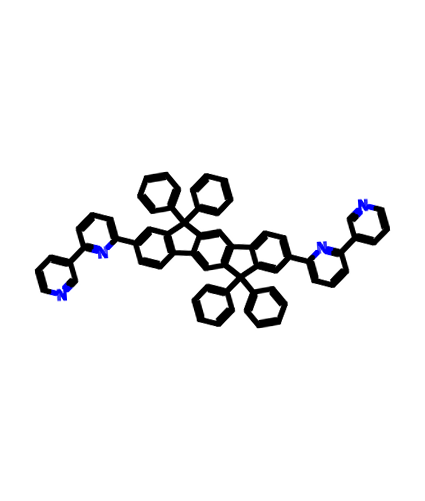 c1ccc(C2(c3ccccc3)c3cc(-c4cccc(-c5cccnc5)n4)ccc3-c3cc4c(cc32)-c2ccc(-c3cccc(-c5cccnc5)n3)cc2C4(c2ccccc2)c2ccccc2)cc1